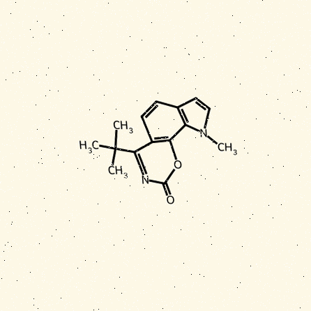 Cn1ccc2ccc3c(C(C)(C)C)nc(=O)oc3c21